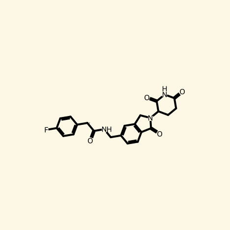 O=C([CH]c1ccc(F)cc1)NCc1ccc2c(c1)CN(C1CCC(=O)NC1=O)C2=O